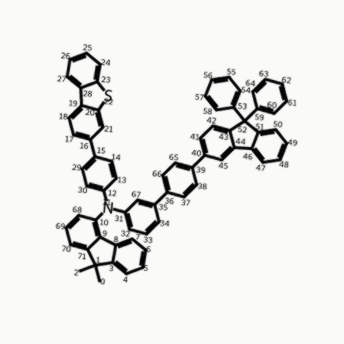 CC1(C)c2ccccc2-c2c(N(c3ccc(-c4ccc5c(c4)sc4ccccc45)cc3)c3cccc(-c4ccc(-c5ccc6c(c5)-c5ccccc5C6(c5ccccc5)c5ccccc5)cc4)c3)cccc21